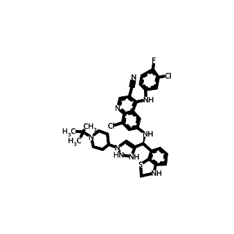 CC(C)(C)N1CCC(N2C=C([C@@H](Nc3cc(Cl)c4ncc(C#N)c(Nc5ccc(F)c(Cl)c5)c4c3)c3cccc4c3SCN4)NN2)CC1